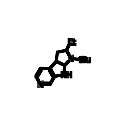 CCC1CC2c3ccncc3NC2N1C(C)(C)C